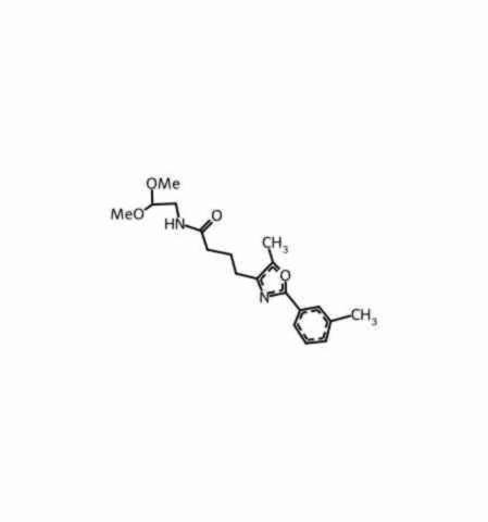 COC(CNC(=O)CCCc1nc(-c2cccc(C)c2)oc1C)OC